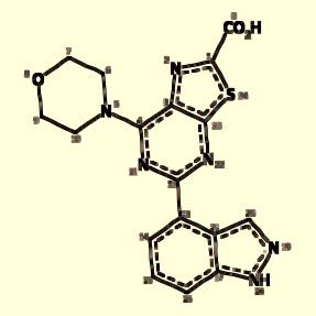 O=C(O)c1nc2c(N3CCOCC3)nc(-c3cccc4[nH]ncc34)nc2s1